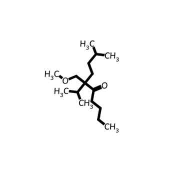 CCCCC(=O)C(CCC(C)C)(COC)C(C)C